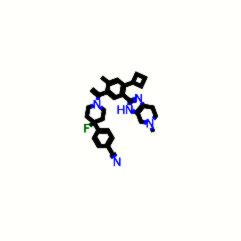 C=C(c1cc(-c2nc3c([nH]2)CN(C)CC3)c(C2CCC2)cc1C)N1CCC(F)(c2ccc(C#N)cc2)CC1